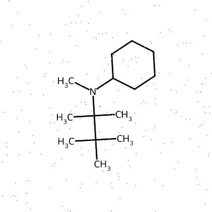 CN(C1CCCCC1)C(C)(C)C(C)(C)C